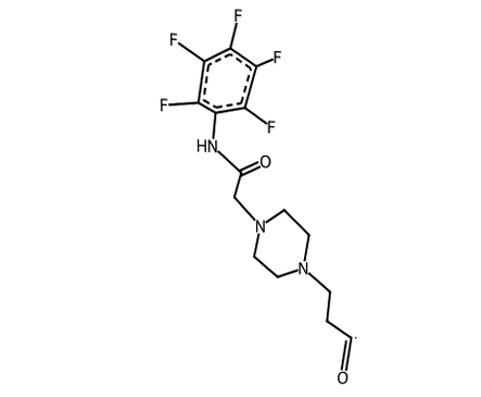 O=[C]CCN1CCN(CC(=O)Nc2c(F)c(F)c(F)c(F)c2F)CC1